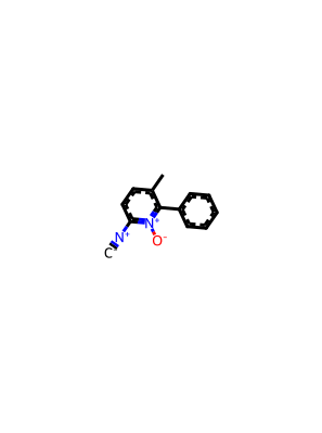 [C-]#[N+]c1ccc(C)c(-c2ccccc2)[n+]1[O-]